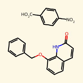 O=C(O)c1ccc([N+](=O)[O-])cc1.O=c1ccc2cccc(OCc3ccccc3)c2[nH]1